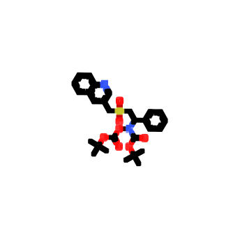 CC(C)(C)OC(=O)ON(C(=O)OC(C)(C)C)C(CS(=O)(=O)Cc1cnc2ccccc2c1)c1ccccc1